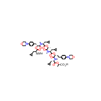 CN[C@@H](CC1CC1)C(=O)O[C@H](Cc1ccc(N2CCOCC2)cc1)C(=O)N(C)[C@@H](CC1CC1)C(=O)O[C@H](C)C(=O)N(C)[C@@H](CC1CC1)C(=O)O[C@H](CCc1ccc(N2CCOCC2)cc1)C(=O)N(C)[C@@H](CC1CC1)C(=O)O[C@H](C)C(=O)O